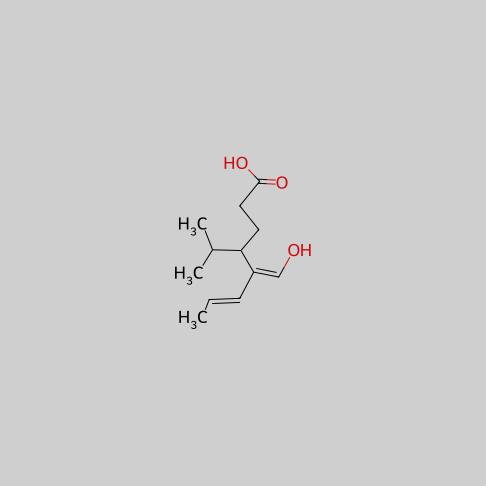 C/C=C/C(=C/O)C(CCC(=O)O)C(C)C